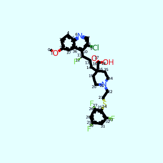 COc1ccc2ncc(Cl)c([C@H](F)CCC3(C(=O)O)CCN(CCSc4c(F)cc(F)cc4F)CC3)c2c1